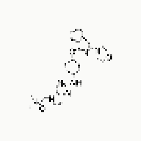 CN(C)C(=O)Cn1ccc2nc(N[C@H]3CC[C@@H](Oc4nc(N5CCOCC5)cc5ccccc45)CC3)ncc21